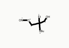 CCCCC(CC)(CO)CON=O